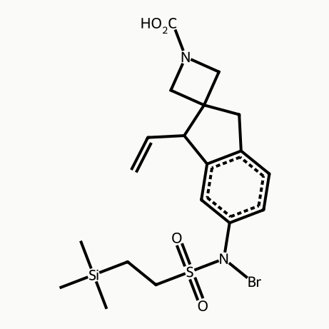 C=CC1c2cc(N(Br)S(=O)(=O)CC[Si](C)(C)C)ccc2CC12CN(C(=O)O)C2